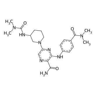 CN(C)C(=O)NC1CCCN(c2cnc(C(N)=O)c(Nc3ccc(C(=O)N(C)C)cc3)n2)C1